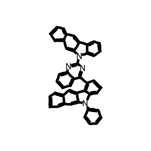 c1ccc(-n2c3cc4ccccc4cc3c3c(-c4nc(-n5c6ccccc6c6cc7ccccc7cc65)nc5ccccc45)cccc32)cc1